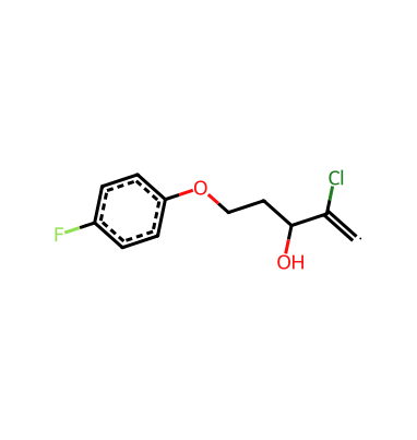 [CH]=C(Cl)C(O)CCOc1ccc(F)cc1